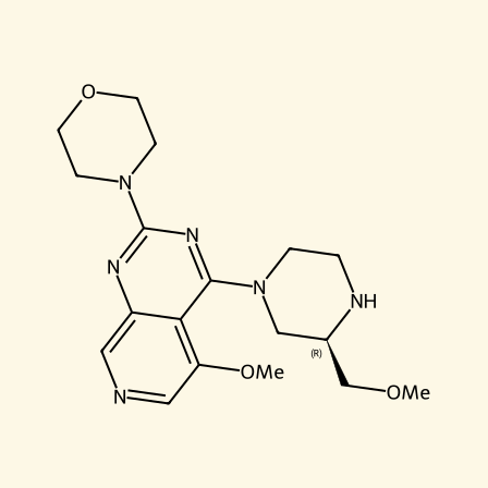 COC[C@H]1CN(c2nc(N3CCOCC3)nc3cncc(OC)c23)CCN1